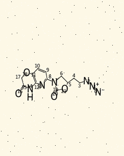 [N-]=[N+]=NCCC1CN(c2ccc3c(n2)NC(=O)CO3)C(=O)O1